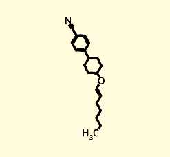 CCCCC/C=C/OC1CCC(c2ccc(C#N)cc2)CC1